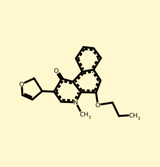 CCCOc1cc2ccccc2c2c(=O)c(C3C=COC3)cn(C)c12